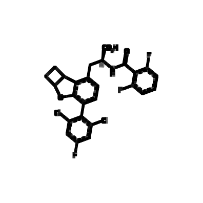 O=C(N[C@@H](Cc1ccc(-c2c(Cl)cc(F)cc2Cl)c2c1C1CCC1O2)C(=O)O)c1c(F)cccc1F